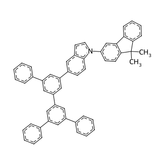 CC1(C)c2ccccc2-c2cc(-n3ccc4cc(-c5cc(-c6ccccc6)cc(-c6cc(-c7ccccc7)cc(-c7ccccc7)c6)c5)ccc43)ccc21